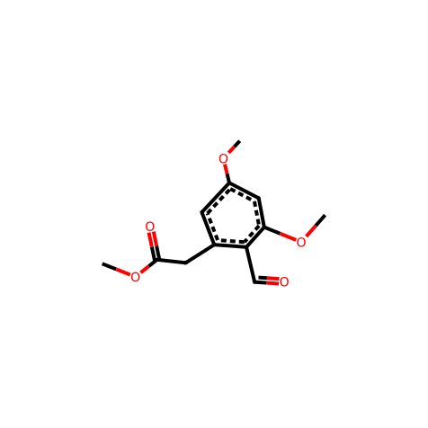 COC(=O)Cc1cc(OC)cc(OC)c1C=O